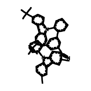 Cc1ccc2c(c1)c1cc(C)ccc1n2-c1ccccc1-c1cc(C#N)cc(-c2ccccc2-n2c3ccc(C(C)(C)C)cc3c3cc(C(C)(C)C)ccc32)c1